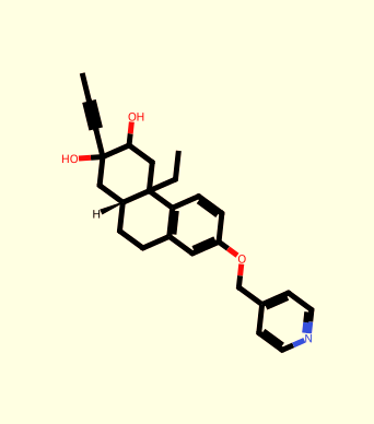 CC#CC1(O)C[C@H]2CCc3cc(OCc4ccncc4)ccc3C2(CC)CC1O